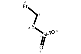 CCCS[SH](=O)=O